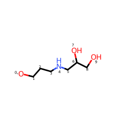 [O]CCCNCC(O)CO